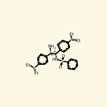 CCN(CC)c1ccc([C@@H](N)[C@H](NS(=O)(=O)c2ccccc2)c2ccc(N(CC)CC)cc2)cc1